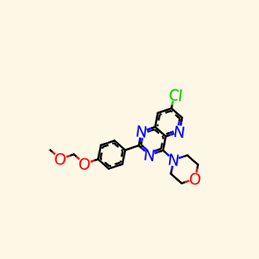 COCOc1ccc(-c2nc(N3CCOCC3)c3ncc(Cl)cc3n2)cc1